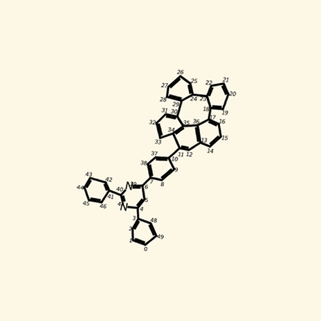 c1ccc(-c2cc(-c3ccc(-c4cc5cccc6c7ccccc7c7ccccc7c7cccc4c7c56)cc3)nc(-c3ccccc3)n2)cc1